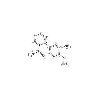 NCc1ccc(-c2ncccc2C(N)=O)cc1N